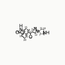 O=C(c1cnn(C2CCNCC2)c1)c1ccc2c3c(cccc13)C(=O)N2